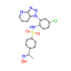 C/C(=N\O)c1ccc(S(=O)(=O)Nc2ccc(Cl)cc2-n2nnc3ncccc32)cc1